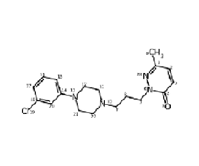 Cc1ccc(=O)n(CCCN2CCN(c3cccc(Cl)c3)CC2)n1